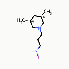 C[C@@H]1C[C@H](C)CN(CCCNI)C1